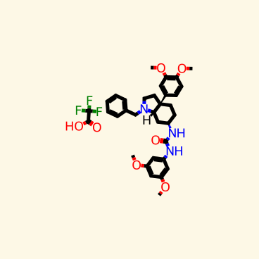 COc1cc(NC(=O)N[C@@H]2CC[C@@]3(c4ccc(OC)c(OC)c4)CCN(Cc4ccccc4)[C@H]3C2)cc(OC)c1.O=C(O)C(F)(F)F